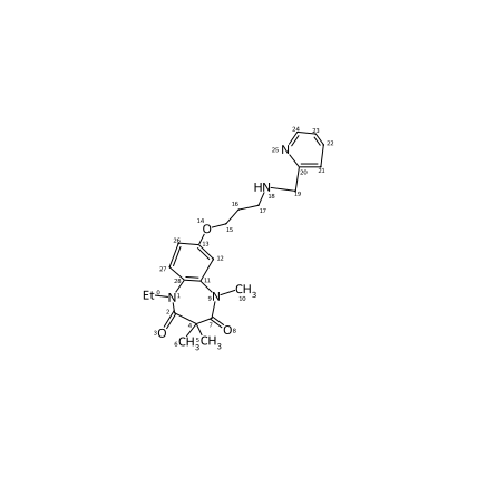 CCN1C(=O)C(C)(C)C(=O)N(C)c2cc(OCCCNCc3ccccn3)ccc21